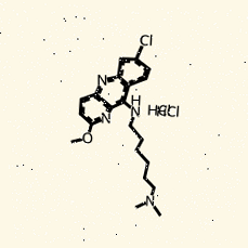 COc1ccc2nc3cc(Cl)ccc3c(NCCCCCCN(C)C)c2n1.Cl.Cl